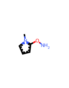 Cn1cccc1ON